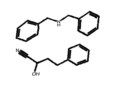 N#CC(O)CCc1ccccc1.c1ccc(CNCc2ccccc2)cc1